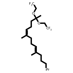 C/C(=C/CCC(C)(OCC(F)(F)F)OCC(F)(F)F)CC/C=C(\C)CCCC(C)C